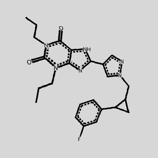 CCCn1c(=O)c2[nH]c(-c3cnn(CC4CC4c4cccc(F)c4)c3)nc2n(CCC)c1=O